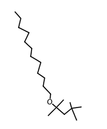 CCCCCCCCCCCCOC(C)(C)CC(C)(C)C